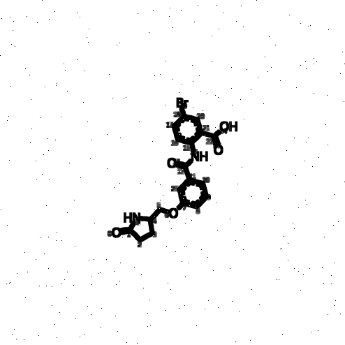 O=C1CCC(COc2cccc(C(=O)Nc3ccc(Br)cc3C(=O)O)c2)N1